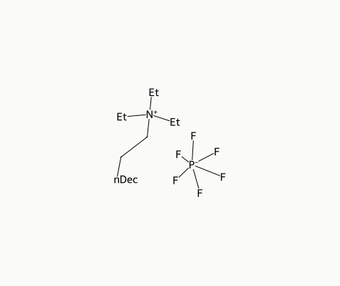 CCCCCCCCCCCC[N+](CC)(CC)CC.F[P-](F)(F)(F)(F)F